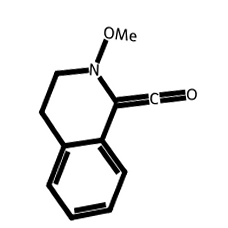 CON1CCc2ccccc2C1=C=O